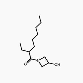 CCCCCCC(CC)C(=O)N1CC(O)C1